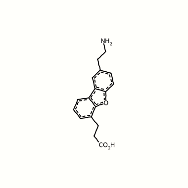 NCCc1ccc2oc3c(CCC(=O)O)cccc3c2c1